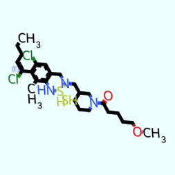 CCC/C=C(/Cl)c1c(Cl)cc2c(c1C)N[SH](S)N(CC1CCCN(C(=O)CCCCOC)C1)C2